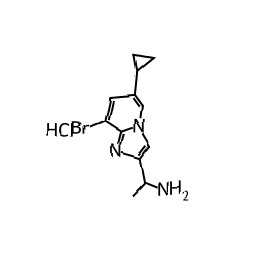 CC(N)c1cn2cc(C3CC3)cc(Br)c2n1.Cl